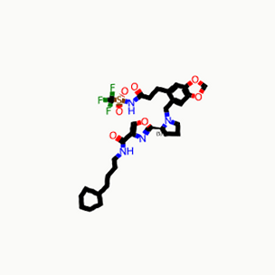 O=C(CCc1cc2c(cc1CN1CCC[C@H]1c1nc(C(=O)NCCCCC3CCCCC3)co1)OCO2)NS(=O)(=O)C(F)(F)F